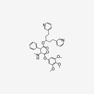 CNC(C(=O)Oc1cc(OC)c(OC)c(OC)c1)C(C(=O)OC(CCc1cccnc1)CCc1cccnc1)c1ccccc1